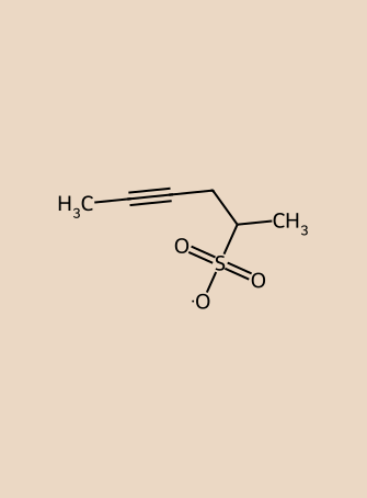 CC#CCC(C)S([O])(=O)=O